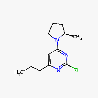 CCCc1cc(N2CCC[C@H]2C)nc(Cl)n1